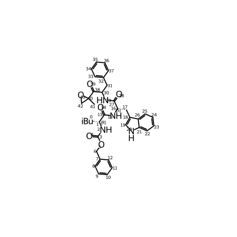 CCC(C)[C@@H](NC(=O)OCc1ccccc1)C(=O)N[C@@H](Cc1c[nH]c2ccccc12)C(=O)NC(Cc1ccccc1)C(=O)C1(C)CO1